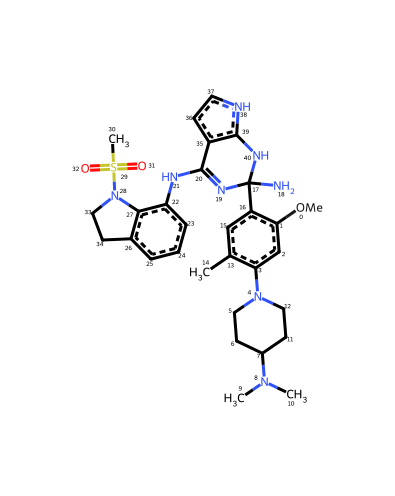 COc1cc(N2CCC(N(C)C)CC2)c(C)cc1C1(N)N=C(Nc2cccc3c2N(S(C)(=O)=O)CC3)c2cc[nH]c2N1